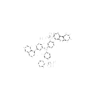 C[Si]1(C)c2ccccc2-c2cc(N(c3cccc(-c4cccc5ccccc45)c3)c3ccc4c(c3)[Si](C)(C)c3ccc5c(oc6ccccc65)c3-4)ccc21